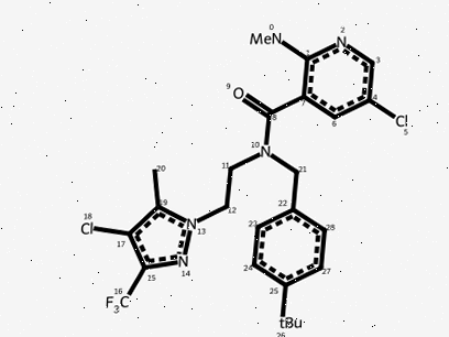 CNc1ncc(Cl)cc1C(=O)N(CCn1nc(C(F)(F)F)c(Cl)c1C)Cc1ccc(C(C)(C)C)cc1